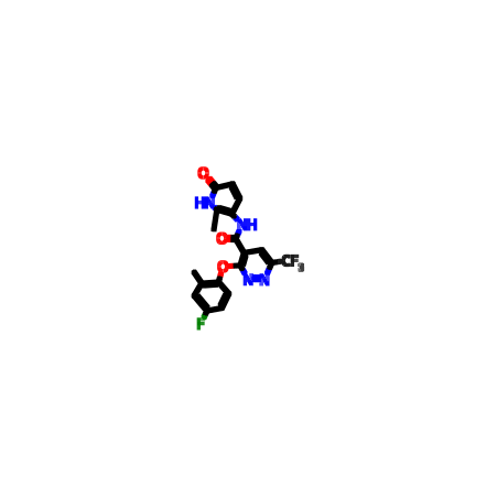 Cc1cc(F)ccc1Oc1nnc(C(F)(F)F)cc1C(=O)Nc1ccc(=O)[nH]c1C